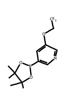 CC1(C)OB(c2cncc(OCC(F)(F)F)c2)OC1(C)C